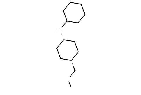 COC[C@H]1CC[C@H](NC2CCCCC2)CC1